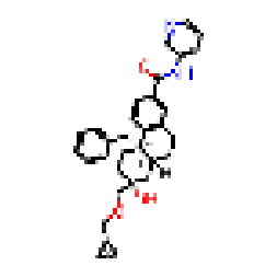 O=C(Nc1cccnc1)c1ccc2c(c1)CC[C@@H]1C[C@@](O)(COCC3CC3)CC[C@@]21Cc1ccccc1